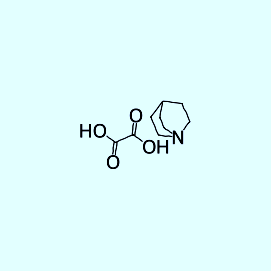 C1CN2CCC1CC2.O=C(O)C(=O)O